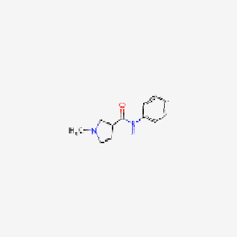 CN1CCC(C(=O)Nc2cc[c]cc2)C1